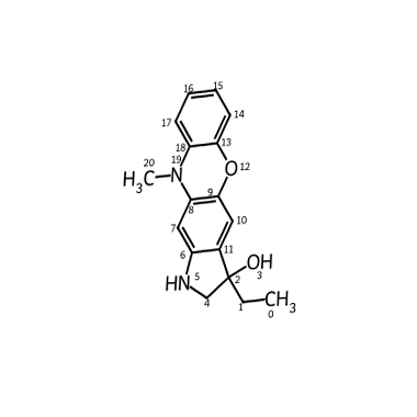 CCC1(O)CNc2cc3c(cc21)Oc1ccccc1N3C